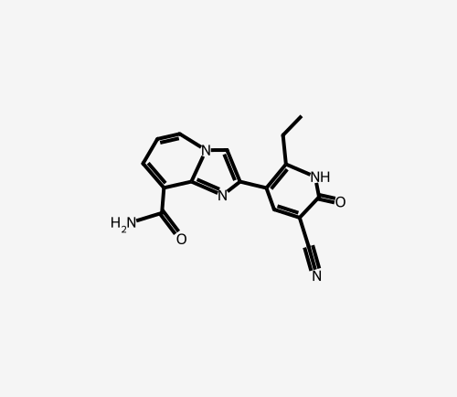 CCc1[nH]c(=O)c(C#N)cc1-c1cn2cccc(C(N)=O)c2n1